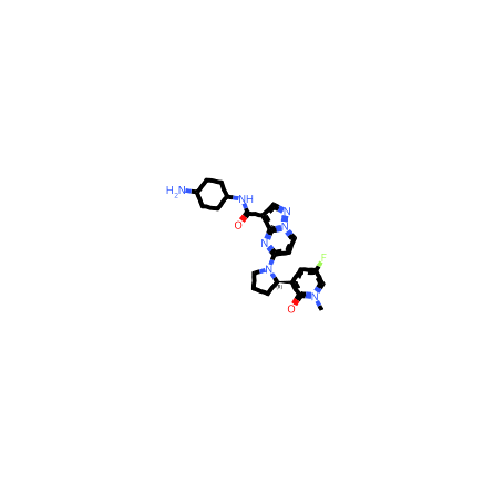 Cn1cc(F)cc([C@H]2CCCN2c2ccn3ncc(C(=O)NC4CCC(N)CC4)c3n2)c1=O